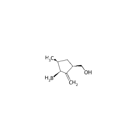 B[C@@H]1C(=C)[C@H](CO)C[C@@H]1C